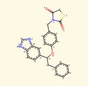 O=C1CSC(=O)N1Cc1ccc(OC(Cc2ccccc2)c2ccc3[nH]cnc3c2)cc1